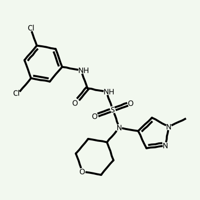 Cn1cc(N(C2CCOCC2)S(=O)(=O)NC(=O)Nc2cc(Cl)cc(Cl)c2)cn1